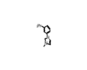 CC(C)c1cccc(N2C=CN(C)C2)c1